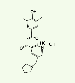 Cc1cc(-c2cc(=O)c3cc(CN4CCCC4)cnc3o2)cc(C)c1O.Cl.Cl